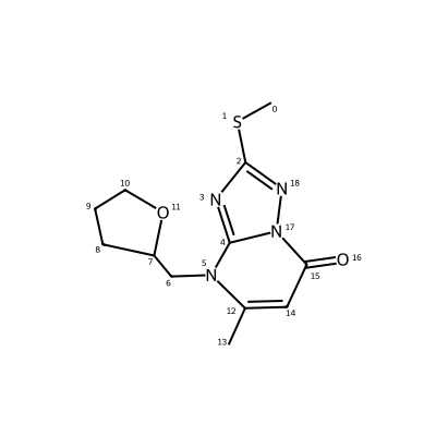 CSc1nc2n(CC3CCCO3)c(C)cc(=O)n2n1